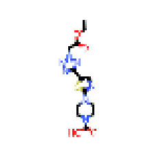 CCOC(=O)Cn1nnc(-c2cnc(N3CCN(C(=O)O)CC3)s2)n1